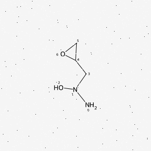 NN(O)CC1CO1